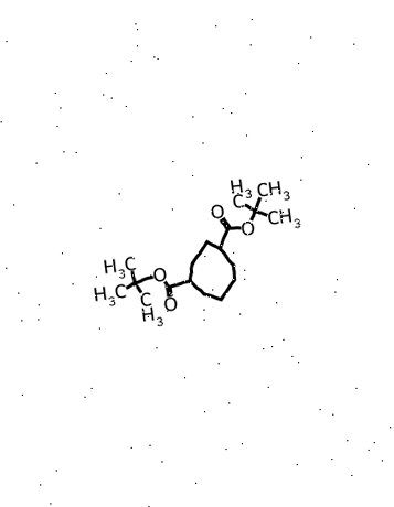 CC(C)(C)OC(=O)C1CCCCC(C(=O)OC(C)(C)C)CC1